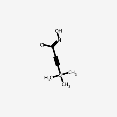 C[Si](C)(C)C#CC(Cl)=NO